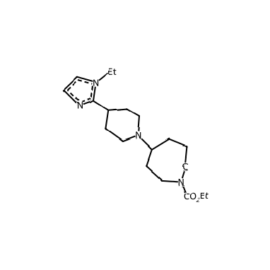 CCOC(=O)N1CCCC(N2CCC(c3nccn3CC)CC2)CC1